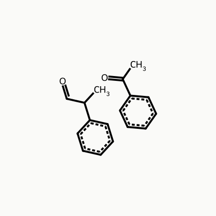 CC(=O)c1ccccc1.CC(C=O)c1ccccc1